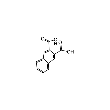 O=C(O)c1[c]c2ccccc2cc1C(=O)O